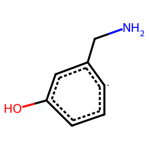 NCc1[c]ccc(O)c1